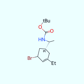 CCC1=CC(Br)C[C@H](C(C)NC(=O)OC(C)(C)C)C1